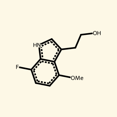 COc1ccc(F)c2[nH]cc(CCO)c12